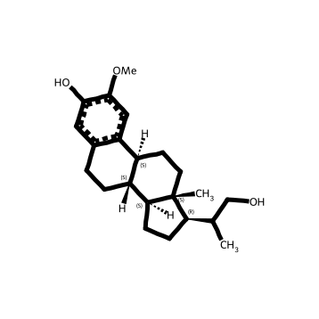 COc1cc2c(cc1O)CC[C@@H]1[C@@H]2CC[C@]2(C)[C@@H](C(C)CO)CC[C@@H]12